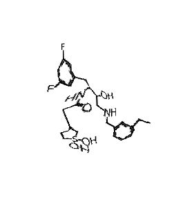 CCc1cccc(CNC[C@H](O)[C@H](Cc2cc(F)cc(F)c2)NC(=O)CC2CCS(O)(O)C2)c1